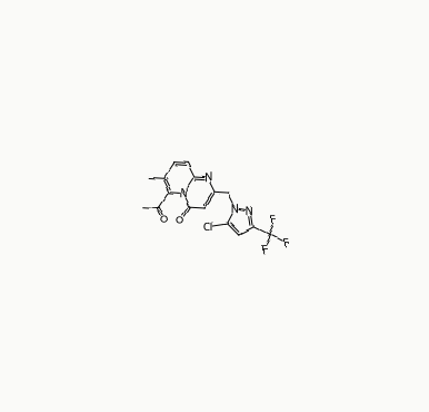 CC(=O)c1c(C)ccc2nc(Cn3nc(C(F)(F)F)cc3Cl)cc(=O)n12